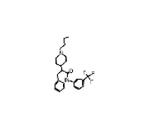 CCCCN1CCC(C(Cc2ccccc2)C(=O)Nc2cccc(C(F)(F)F)c2)CC1